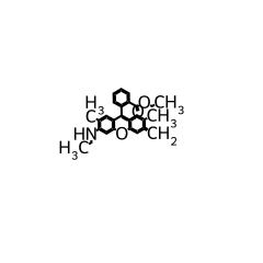 C=c1cc2c(cc1C)=C(c1ccccc1C(=O)OCC)c1cc(C)c(NCC)cc1O2